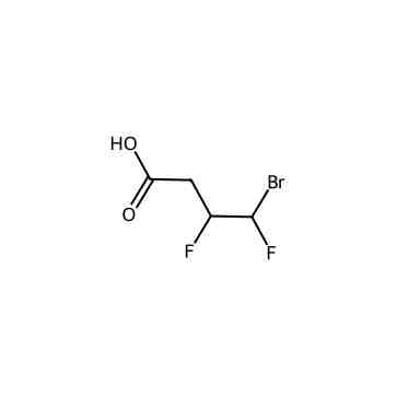 O=C(O)CC(F)C(F)Br